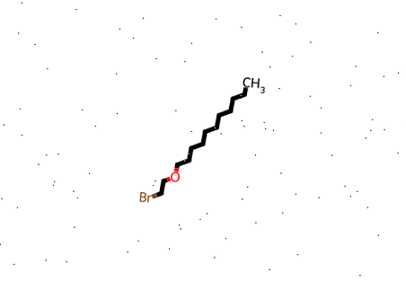 CCCCCCCCCCCOCCBr